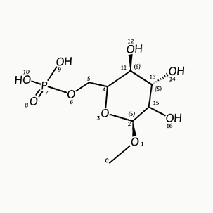 CO[C@H]1OC(COP(=O)(O)O)[C@@H](O)[C@H](O)C1O